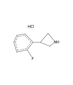 Cl.Fc1ccccc1C1CNC1